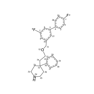 Fc1ccc(-c2cc(F)cc(COCCC3(c4ccccc4)CCNCC3)c2)cc1